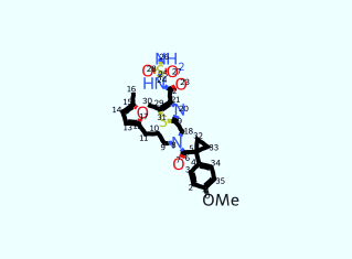 COc1ccc(C2(C(=O)N(CCCc3ccc(C)o3)Cc3nc(C(=O)NS(N)(=O)=O)c(C)s3)CC2)cc1